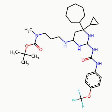 CN(CCCNC1CC(C2CCCCCC2)(C2CC2)NC(NC(=O)Nc2ccc(OC(F)(F)F)cc2)N1)C(=O)OC(C)(C)C